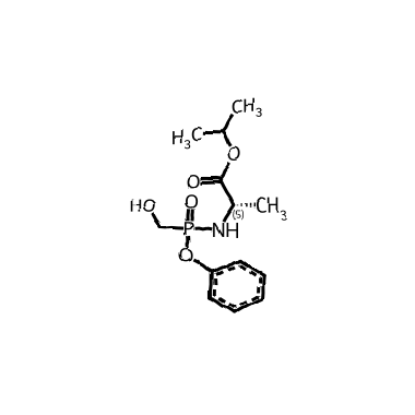 CC(C)OC(=O)[C@H](C)NP(=O)(CO)Oc1ccccc1